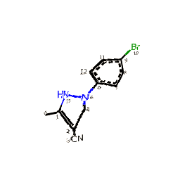 CC1=C(C#N)CN(c2ccc(Br)cc2)N1